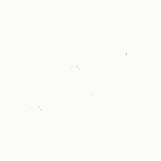 O=[N+]([O-])c1ccc(NCC(O)CO)c(O)c1